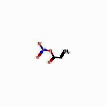 C=CC(=O)O[N+](=O)[O-]